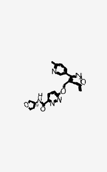 Cc1ccc(-c2noc(C)c2COc2ccc(C(=O)N[C@H]3CCOC3)nn2)cn1